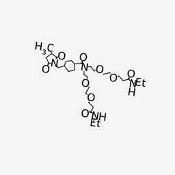 CCNC(=O)CCOCCOCCN(CCOCCOCCC(=O)NCC)C(=O)C1CCC(CN2C(=O)CC(C)C2=O)CC1